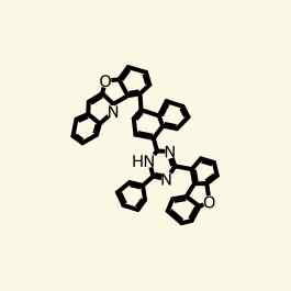 c1ccc(C2=NC(c3cccc4oc5ccccc5c34)=NC(c3ccc(-c4cccc5oc6cc7ccccc7nc6c45)c4ccccc34)N2)cc1